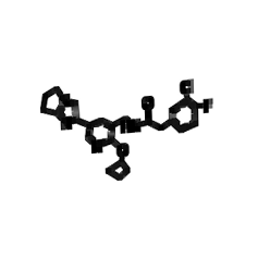 O=C(Cc1ccc(F)c(Cl)c1)NCc1cc(-c2cn3c(n2)CCC3)cnc1OC1CCC1